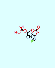 C=CCF.O=C(O)O.O=C1OCC(CF)O1